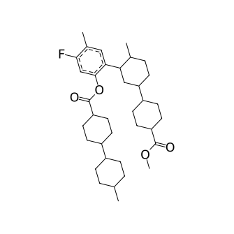 COC(=O)C1CCC(C2CCC(C)C(c3cc(C)c(F)cc3OC(=O)C3CCC(C4CCC(C)CC4)CC3)C2)CC1